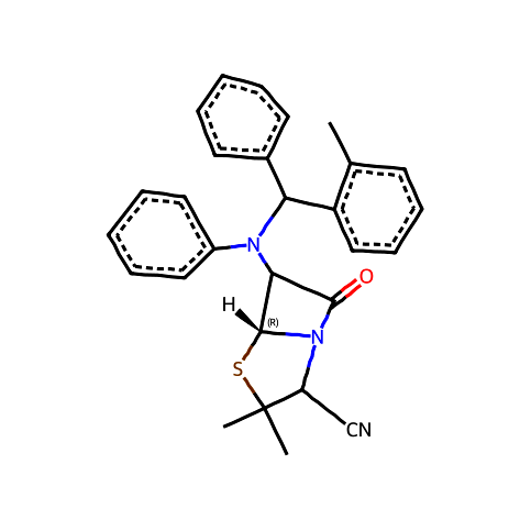 Cc1ccccc1C(c1ccccc1)N(c1ccccc1)C1C(=O)N2C(C#N)C(C)(C)S[C@H]12